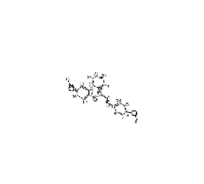 COc1ccc(S/C=C(\Sc2ccc(OC)cc2)c2ccccc2)cc1